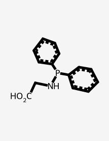 O=C(O)CNP(c1ccccc1)c1ccccc1